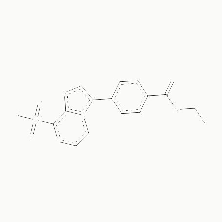 CCNC(=O)c1ccc(-c2cnc3c(S(C)(=O)=O)nccn23)cc1